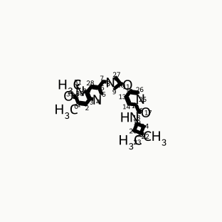 Cc1cc2ncc(CN3CC(Oc4ccc(C(=O)NC5CC(C)(C)C5)nc4)C3)cc2n(C)c1=O